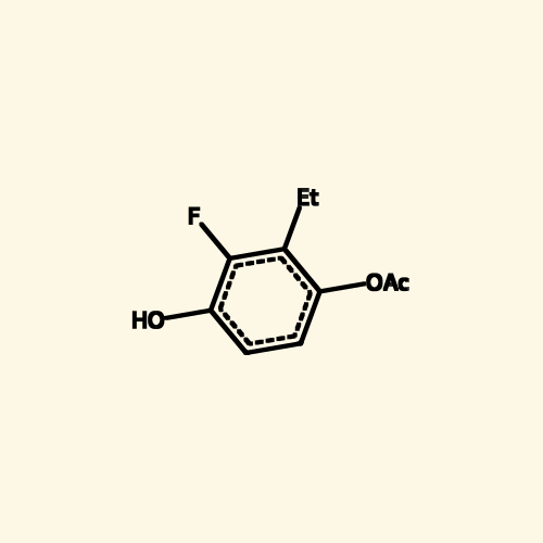 CCc1c(OC(C)=O)ccc(O)c1F